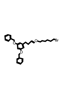 BrCCCCCCOC=CCCc1cc(OCc2ccccc2)cc(OCc2ccccc2)c1